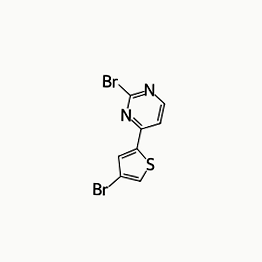 Brc1csc(-c2ccnc(Br)n2)c1